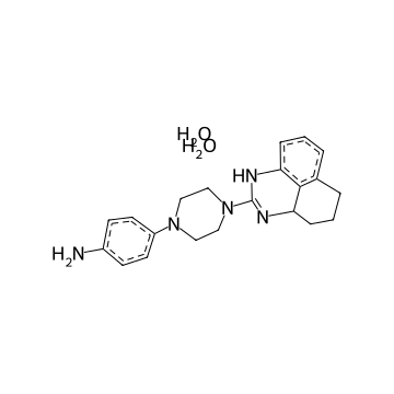 Nc1ccc(N2CCN(C3=NC4CCCc5cccc(c54)N3)CC2)cc1.O.O